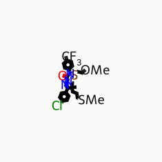 COCCSN(C(=O)N1CC(C)(CCCSC)C(c2ccc(Cl)cc2)=N1)c1ccc(C(F)(F)F)cc1